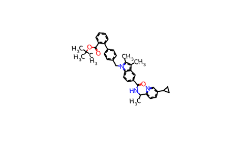 Cc1c(C)n(Cc2ccc(-c3ccccc3C(=O)OC(C)(C)C)cc2)c2ccc(C(=O)NC(C)c3ccc(C4CC4)cn3)cc12